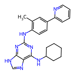 Cc1cc(-c2ccccn2)ccc1Nc1nc(NC2CCCCC2)c2nc[nH]c2n1